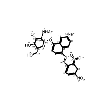 CC(=O)N[C@H]1[C@H](Oc2ccc(N=NC3=CC=C([N+](=O)[O-])CC3=S(=O)=O)c3ccccc23)O[C@H](CO)[C@@H](O)[C@@H]1[O-].[Na+]